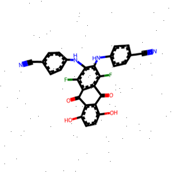 N#Cc1ccc(Nc2c(F)c3c(c(F)c2Nc2ccc(C#N)cc2)C(=O)c2c(O)ccc(O)c2C3=O)cc1